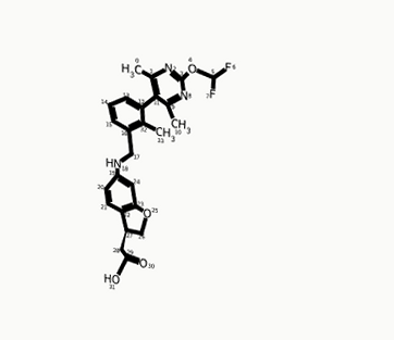 Cc1nc(OC(F)F)nc(C)c1-c1cccc(CNc2ccc3c(c2)OC[C@H]3CC(=O)O)c1C